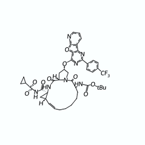 CC(C)(C)OC(=O)N[C@H]1CCCCC/C=C\[C@@H]2C[C@@]2(C(=O)NS(=O)(=O)C2CC2)NC(=O)[C@@H]2C[C@@H](Oc3nc(-c4ccc(C(F)(F)F)cc4)nc4c3oc3ncccc34)CN2C1=O